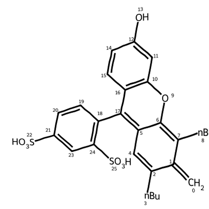 C=c1c(CCCC)cc2c(c1CCCC)Oc1cc(O)ccc1C=2c1ccc(S(=O)(=O)O)cc1S(=O)(=O)O